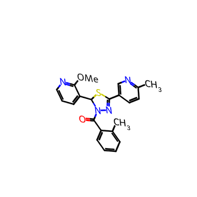 COc1ncccc1C1SC(c2ccc(C)nc2)=NN1C(=O)c1ccccc1C